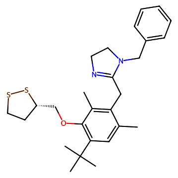 Cc1cc(C(C)(C)C)c(OC[C@@H]2CCSS2)c(C)c1CC1=NCCN1Cc1ccccc1